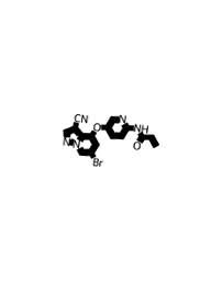 C=CC(=O)Nc1ccc(Oc2cc(Br)cn3ncc(C#N)c23)cn1